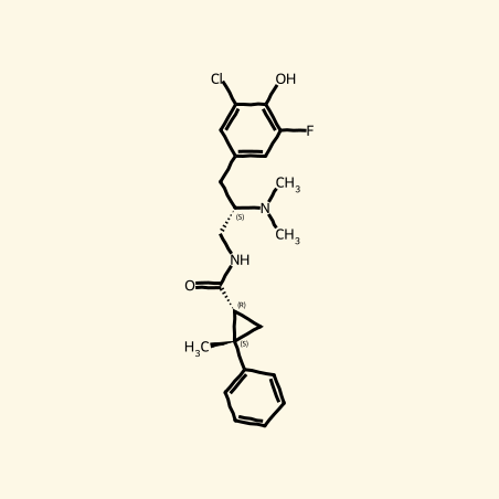 CN(C)[C@H](CNC(=O)[C@@H]1C[C@]1(C)c1ccccc1)Cc1cc(F)c(O)c(Cl)c1